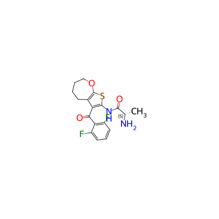 C[C@H](N)C(=O)Nc1sc2c(c1C(=O)c1c(F)cccc1F)CCCCO2